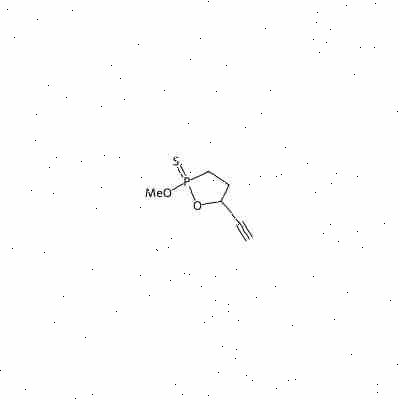 C#CC1CCP(=S)(OC)O1